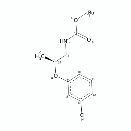 C[C@@H](CNC(=O)OC(C)(C)C)Oc1cccc(Cl)c1